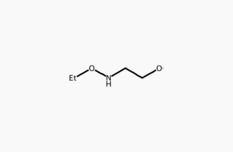 CCONCC[O]